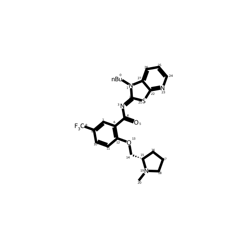 CCCCn1/c(=N/C(=O)c2cc(C(F)(F)F)ccc2OC[C@@H]2CCCN2C)sc2ncccc21